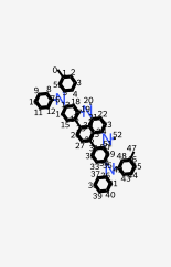 Cc1cccc(N(c2ccccc2)c2ccc3c(c2)N(C)c2ccc4c5c(ccc-3c25)-c2ccc(N(c3ccccc3)c3cccc(C)c3)cc2N4C)c1